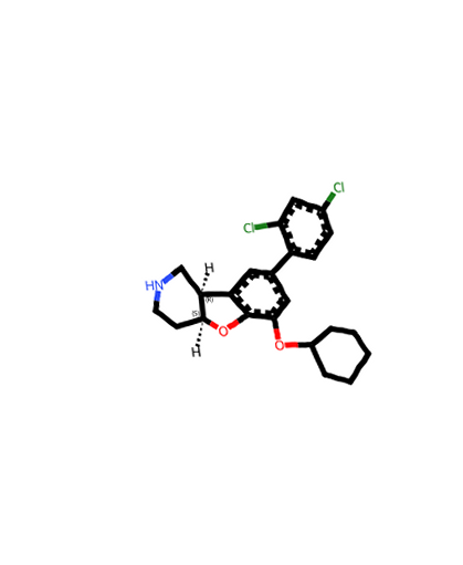 Clc1ccc(-c2cc(OC3CCCCC3)c3c(c2)[C@@H]2CNCC[C@@H]2O3)c(Cl)c1